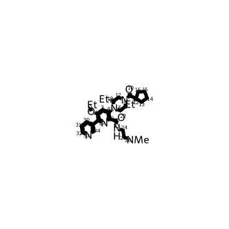 CCOc1cc(N2CCN(C(=O)C3(CC)CCCC3)C[C@H]2CC)c(C(=O)NCCNC)nc1-c1cccnc1